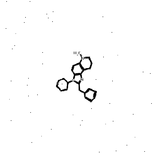 CN1CCCc2c1ccc1c2nc(Cc2ccccc2)n1C1CCCCC1